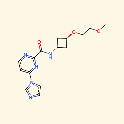 COCCO[C@H]1C[C@H](NC(=O)c2nccc(-n3ccnc3)n2)C1